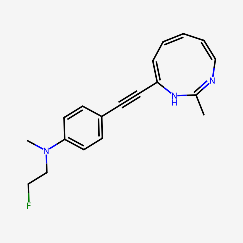 Cc1ncccccc(C#Cc2ccc(N(C)CCF)cc2)[nH]1